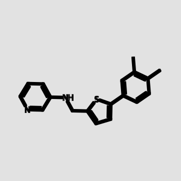 Cc1ccc(-c2ccc(CNc3cccnc3)s2)cc1C